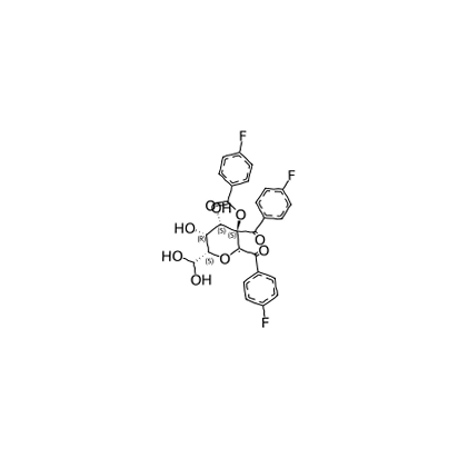 O=C(O[C@@]1(C(=O)c2ccc(F)cc2)[C](C(=O)c2ccc(F)cc2)O[C@H](C(O)O)[C@H](O)[C@@H]1O)c1ccc(F)cc1